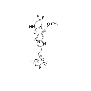 COC[C@H](c1cnn2cc(CC[C@@H](C)OC3(C(F)(F)F)CC3)nc2c1)N1CC(F)(F)CNC1=O